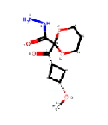 NNC(=O)C1(C(=O)[C@H]2C[C@@H](OC(F)(F)F)C2)OCCCO1